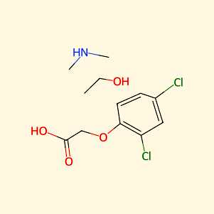 CCO.CNC.O=C(O)COc1ccc(Cl)cc1Cl